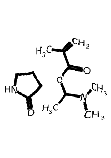 C=C(C)C(=O)OC(C)N(C)C.O=C1CCCN1